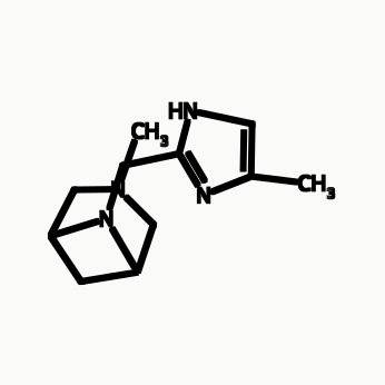 Cc1c[nH]c(CN2C3CC2CN(C)C3)n1